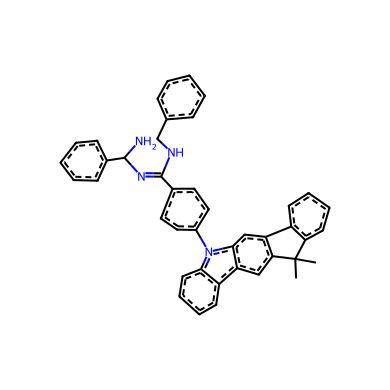 CC1(C)c2ccccc2-c2cc3c(cc21)c1ccccc1n3-c1ccc(/C(=N/C(N)c2ccccc2)NCc2ccccc2)cc1